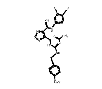 COc1ccc(CNC(=NC(N)=O)NCc2nonc2C(=N)Nc2ccc(F)c(Cl)c2)cc1